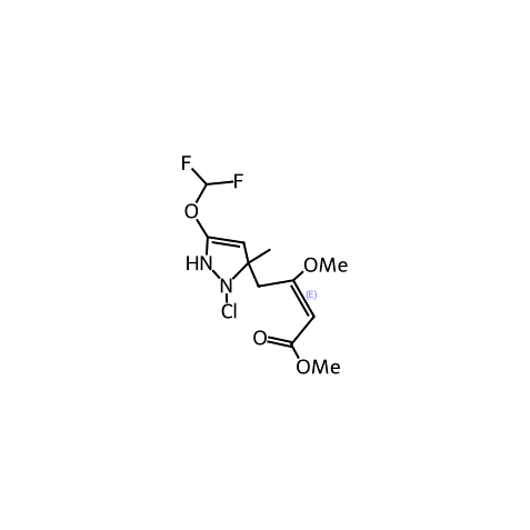 COC(=O)/C=C(\CC1(C)C=C(OC(F)F)NN1Cl)OC